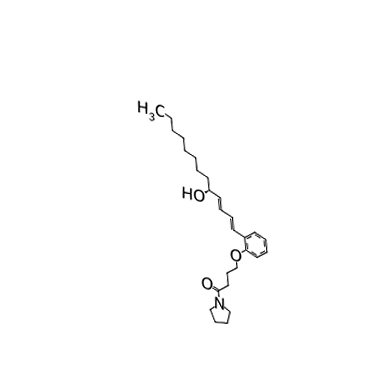 CCCCCCCC[C@H](O)/C=C/C=C/c1ccccc1OCCCC(=O)N1CCCC1